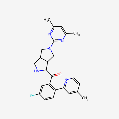 Cc1ccnc(-c2ccc(F)cc2C(=O)C2NCC3CN(c4nc(C)cc(C)n4)CC32)c1